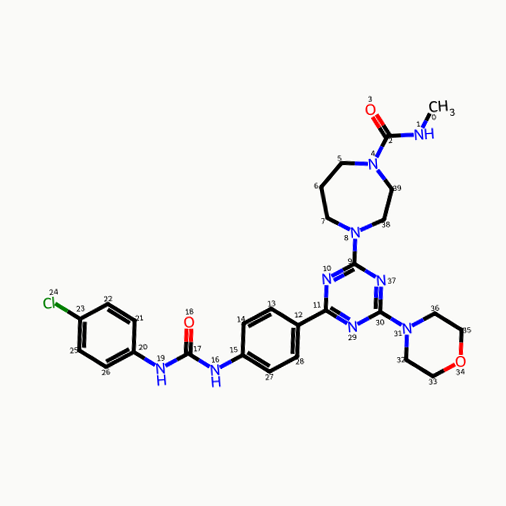 CNC(=O)N1CCCN(c2nc(-c3ccc(NC(=O)Nc4ccc(Cl)cc4)cc3)nc(N3CCOCC3)n2)CC1